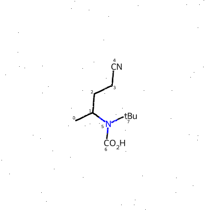 CC(CCC#N)N(C(=O)O)C(C)(C)C